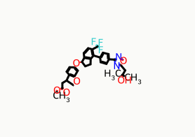 COC(=O)CC1COc2cc(O[C@@H]3CCc4c3ccc(C(F)(F)F)c4-c3ccc(-c4noc(CC(C)(C)O)n4)cc3)ccc21